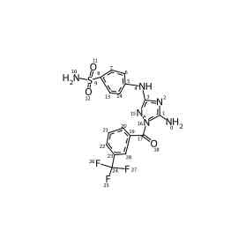 Nc1nc(Nc2ccc(S(N)(=O)=O)cc2)nn1C(=O)c1cccc(C(F)(F)F)c1